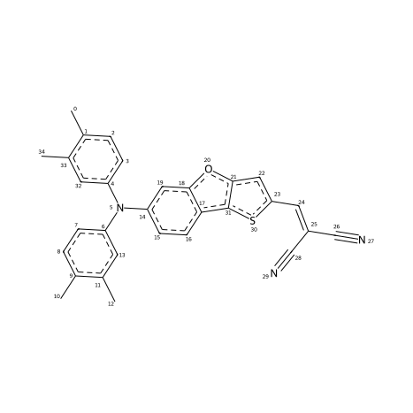 Cc1ccc(N(c2ccc(C)c(C)c2)c2ccc3c(c2)oc2cc(C=C(C#N)C#N)sc23)cc1C